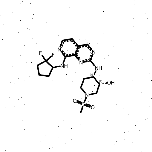 CS(=O)(=O)N1CC[C@@H](Nc2ncc3ccnc(NC4CCCC4(F)F)c3n2)[C@H](O)C1